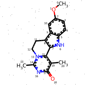 COc1ccc2[nH]c3c(c2c1)CCn1c(C)nc(=O)c(C)c1-3